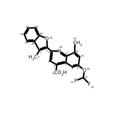 Cc1c(-c2cc(C(=O)O)c3cc(OC(F)F)cc(C)c3n2)oc2ccccc12